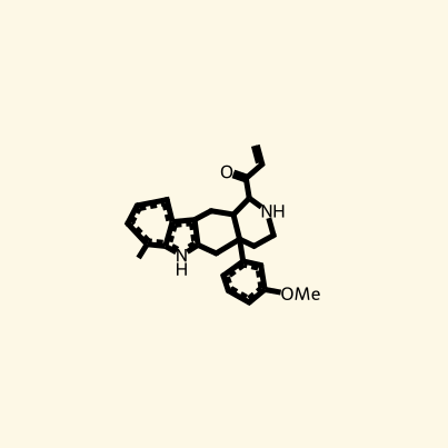 C=CC(=O)C1NCCC2(c3cccc(OC)c3)Cc3[nH]c4c(C)cccc4c3CC12